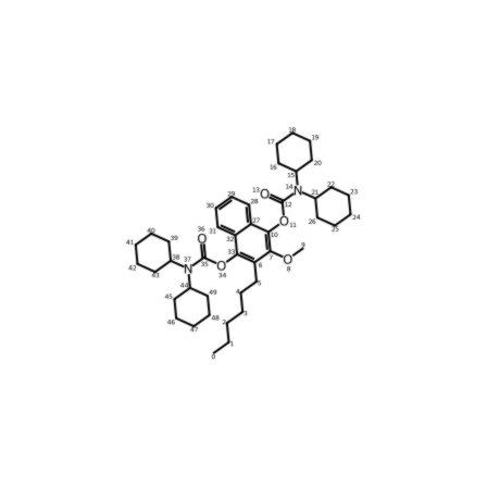 CCCCCCc1c(OC)c(OC(=O)N(C2CCCCC2)C2CCCCC2)c2ccccc2c1OC(=O)N(C1CCCCC1)C1CCCCC1